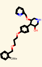 COc1ccccc1COCCCOc1ccc(C2C(O)CNCC2OCc2ccccn2)cc1